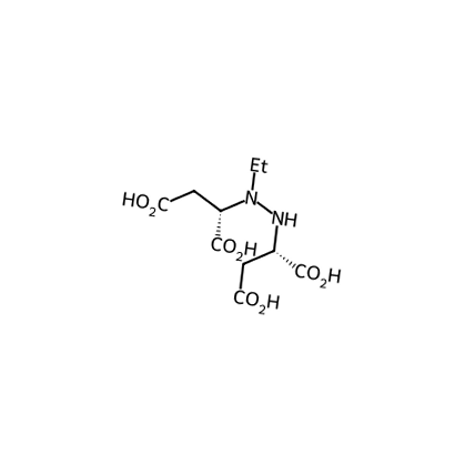 CCN(N[C@@H](CC(=O)O)C(=O)O)[C@@H](CC(=O)O)C(=O)O